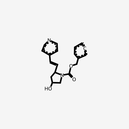 O=C(OCc1ccccc1)N1CC(O)CC1C=Cc1ccncc1